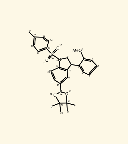 COc1ccccc1C1CN(S(=O)(=O)c2ccc(C)cc2)c2ncc(B3OC(C)(C)C(C)(C)O3)cc21